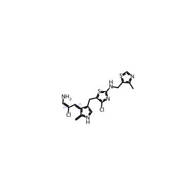 C=c1[nH]cc(Cc2sc(NCc3scnc3C)nc2Cl)/c1=C/C(Cl)=C\N